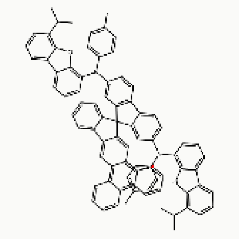 Cc1ccc(N(c2ccc3c(c2)C2(c4ccccc4-c4cc5c6ccccc6c6ccccc6c5cc42)c2cc(N(c4ccc(C)cc4)c4cccc5c4oc4c(C(C)C)cccc45)ccc2-3)c2cccc3c2oc2c(C(C)C)cccc23)cc1